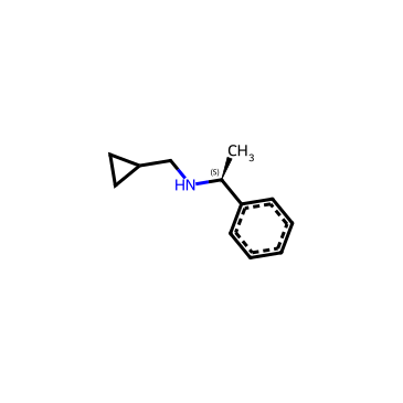 C[C@H](NCC1CC1)c1ccccc1